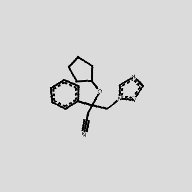 N#CC(Cn1cncn1)(OC1CCCC1)c1ccccc1